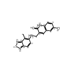 Cc1c(NCc2cc3cc(Cl)ccc3[nH]c2=O)ccc2nsnc12